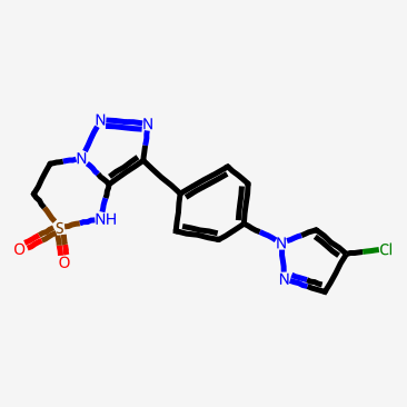 O=S1(=O)CCn2nnc(-c3ccc(-n4cc(Cl)cn4)cc3)c2N1